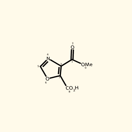 COC(=O)c1ncoc1C(=O)O